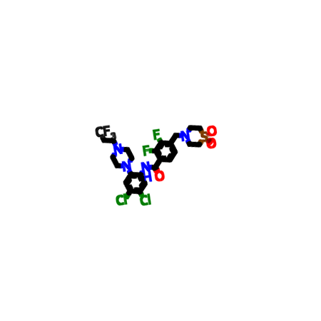 O=C(Nc1cc(Cl)c(Cl)cc1N1CCN(CCC(F)(F)F)CC1)c1ccc(CN2CCS(=O)(=O)CC2)c(F)c1F